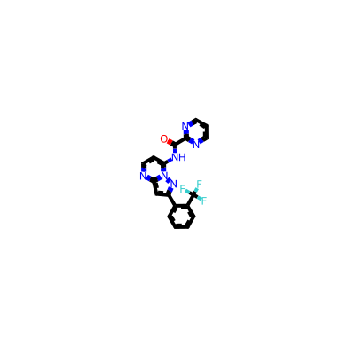 O=C(Nc1ccnc2cc(-c3ccccc3C(F)(F)F)nn12)c1ncccn1